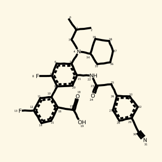 CC(C)CN(c1cc(F)c(-c2cc(F)ccc2C(=O)O)cc1NC(=O)Cc1ccc(C#N)cc1)C1CCCCC1